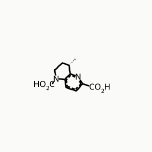 C[C@H]1CCN(C(=O)O)c2ccc(C(=O)O)nc21